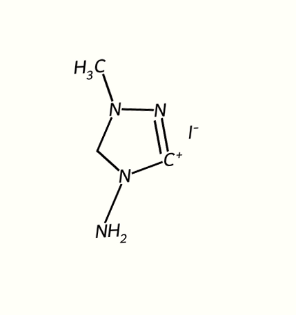 CN1CN(N)[C+]=N1.[I-]